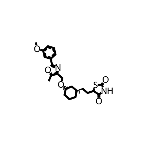 COc1cccc(-c2nc(CO[C@@H]3CCC[C@H](CCC4SC(=O)NC4=O)C3)c(C)o2)c1